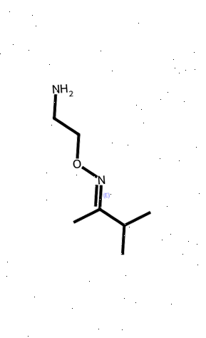 C/C(=N\OCCN)C(C)C